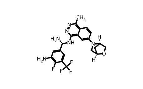 Cc1nnc(N[C@H](N)c2cc(N)c(F)c(C(F)(F)F)c2)c2cc(N3C[C@H]4C[C@@H]3CO4)ccc12